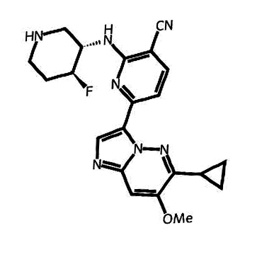 COc1cc2ncc(-c3ccc(C#N)c(N[C@H]4CNCC[C@@H]4F)n3)n2nc1C1CC1